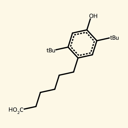 CC(C)(C)c1cc(CCCCCC(=O)O)c(C(C)(C)C)cc1O